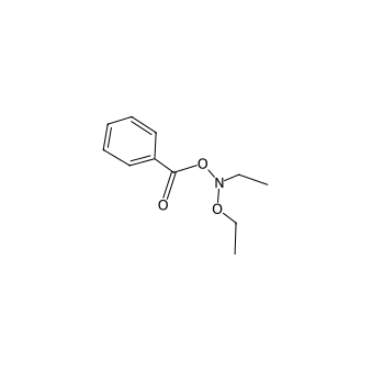 CCON(CC)OC(=O)c1ccccc1